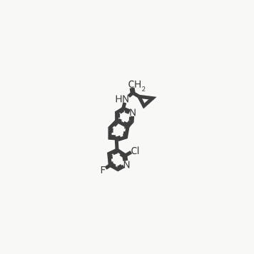 C=C(Nc1cc2ccc(-c3cc(F)cnc3Cl)cc2cn1)C1CC1